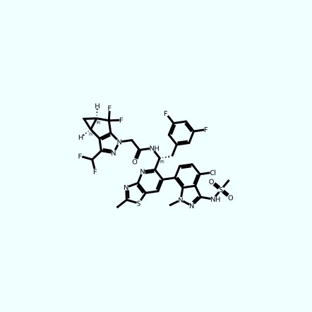 Cc1nc2nc([C@@H](Cc3cc(F)cc(F)c3)NC(=O)Cn3nc(C(F)F)c4c3C(F)(F)[C@@H]3C[C@H]43)c(-c3ccc(Cl)c4c(NS(C)(=O)=O)nn(C)c34)cc2s1